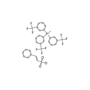 C[P+](c1cccc(C(F)(F)F)c1)(c1cccc(C(F)(F)F)c1)c1cccc(C(F)(F)F)c1.O=S(=O)([O-])C=Cc1ccccc1